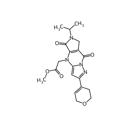 COC(=O)Cn1c2c(c(=O)n3nc(C4=CCOCC4)cc13)CN(C(C)C)C2=O